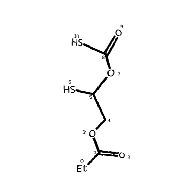 CCC(=O)OCC(S)OC(=O)S